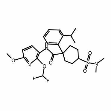 COc1ccc(NC(=O)C2(c3ccccc3C(C)C)CCC(S(=O)(=O)N(C)C)CC2)c(OC(F)F)n1